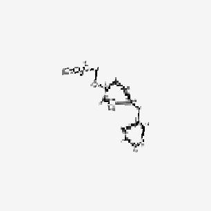 CCOC(=O)CSc1ccc(Cc2cccnc2)cc1